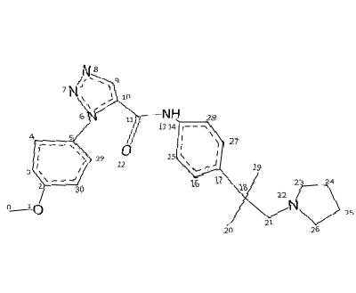 COc1ccc(-n2nncc2C(=O)Nc2ccc(C(C)(C)CN3CCCC3)cc2)cc1